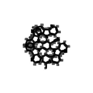 Cc1ccc(-c2c(-n3c4ccccc4c4ncccc43)c(C#N)c(-n3c4ccccc4c4ncccc43)c(-n3c4ccccc4c4ncccc43)c2-n2c3ccccc3c3ncccc32)c(C)n1